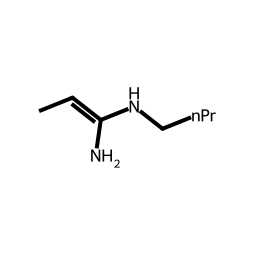 CC=C(N)NCCCC